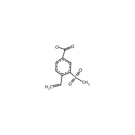 C=Cc1ccc(C(=O)Cl)cc1S(C)(=O)=O